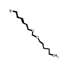 CCCCCCOCOCC/C=C/CCBr